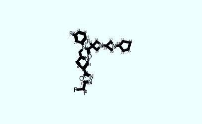 O=C(N(Cc1ccc(-c2nnc(C(F)F)o2)cn1)c1cccc(F)c1)C1(F)CN(C2CN(C3CCCC3)C2)C1